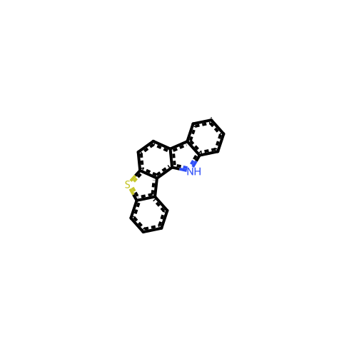 [c]1ccc2[nH]c3c(ccc4sc5ccccc5c43)c2c1